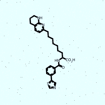 O=C(NC(CCCCCCCc1ccc2c(n1)NCCC2)C(=O)O)c1cccc(-c2cncs2)c1